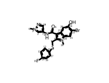 Cn1cc(NC(=O)c2c(CSc3ccc(F)cc3)n(C)c3cc(Br)c(O)cc23)cn1